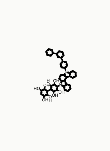 Oc1cc(O)c(O)c(-c2c(O)c(O)c(-n3c4ccccc4c4c5c6ccccc6n(-c6ccc(-c7cccc(-c8ccccc8)c7)cc6)c5ccc43)c(O)c2O)c1O